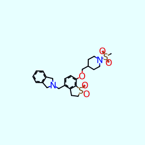 CS(=O)(=O)N1CCC(COc2ccc(CN3Cc4ccccc4C3)c3c2S(=O)(=O)CC3)CC1